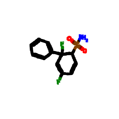 NS(=O)(=O)C1C=CC(F)=CC1(F)c1ccccc1